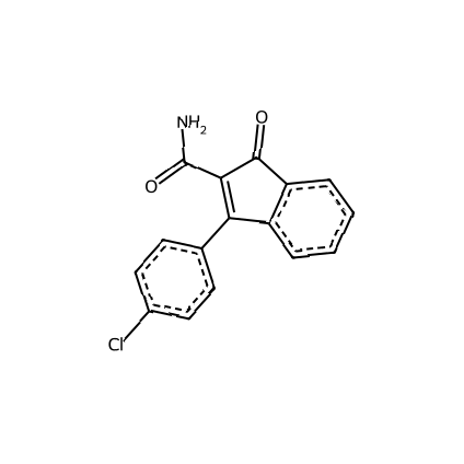 NC(=O)C1=C(c2ccc(Cl)cc2)c2ccccc2C1=O